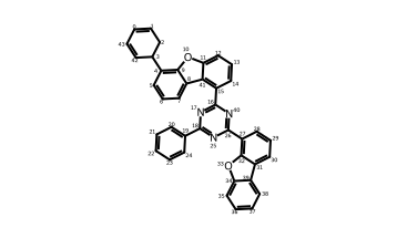 C1=CCC(c2cccc3c2oc2cccc(-c4nc(-c5ccccc5)nc(-c5cccc6c5oc5ccccc56)n4)c23)C=C1